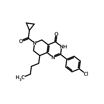 CCCCC1CN(C(=O)C2CC2)Cc2c1nc(-c1ccc(Cl)cc1)[nH]c2=O